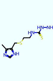 Cc1nc[nH]c1CSCCNC(=S)NN